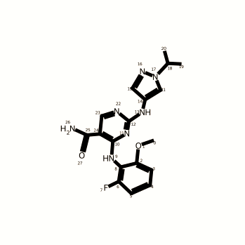 COc1cccc(F)c1Nc1nc(Nc2cnn(C(C)C)c2)ncc1C(N)=O